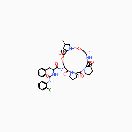 C[C@@H]1C[C@H]2C(=O)O[C@@H](C)[C@H](NC(=O)[C@H](Cc3ccccc3)NC(=O)Nc3ccccc3Cl)C(=O)N3CCC[C@H]3C(=O)N3CCCC[C@H]3C(=O)N[C@@H](C)COCN2C1